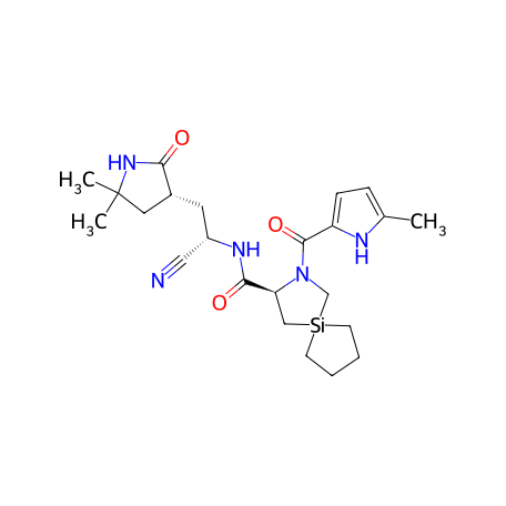 Cc1ccc(C(=O)N2C[Si]3(CCCC3)C[C@H]2C(=O)N[C@H](C#N)C[C@@H]2CC(C)(C)NC2=O)[nH]1